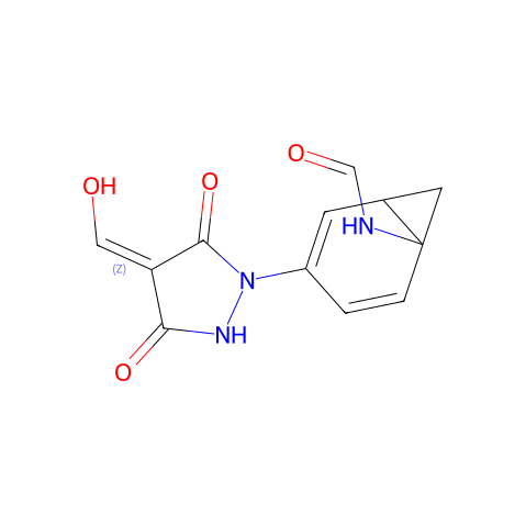 O=CNC12C=CC(N3NC(=O)/C(=C/O)C3=O)=CC1C2